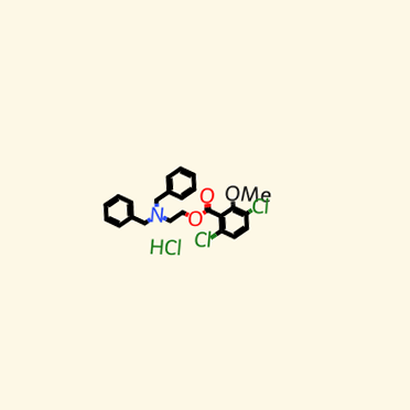 COc1c(Cl)ccc(Cl)c1C(=O)OCCN(Cc1ccccc1)Cc1ccccc1.Cl